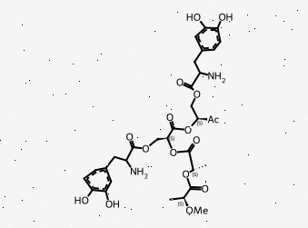 CO[C@@H](C)C(=O)O[C@@H](C)C(=O)O[C@@H](COC(=O)C(N)Cc1ccc(O)c(O)c1)C(=O)O[C@@H](COC(=O)C(N)Cc1ccc(O)c(O)c1)C(C)=O